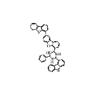 C1=Cc2c(sc3c(-c4ccc5oc6c(C7NC(c8ccccc8)NC(c8cccc9sc%10ccccc%10c89)N7)cccc6c5c4)cccc23)CC1